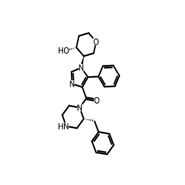 O=C(c1ncn([C@@H]2COCC[C@H]2O)c1-c1ccccc1)N1CCNC[C@H]1Cc1ccccc1